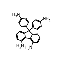 Nc1ccc(C2(c3ccc(N)cc3)c3cccc(N)c3-c3c(N)cccc32)cc1